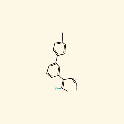 C/C=C\C(=C(/C)F)c1cccc(-c2ccc(C)cc2)c1